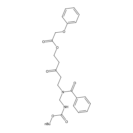 CCCCOC(=O)NCN(CCC(=O)CCOC(=O)COc1ccccc1)C(=O)c1ccccc1